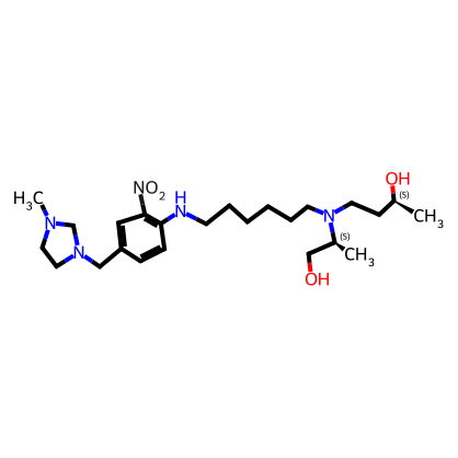 C[C@H](O)CCN(CCCCCCNc1ccc(CN2CCN(C)C2)cc1[N+](=O)[O-])[C@@H](C)CO